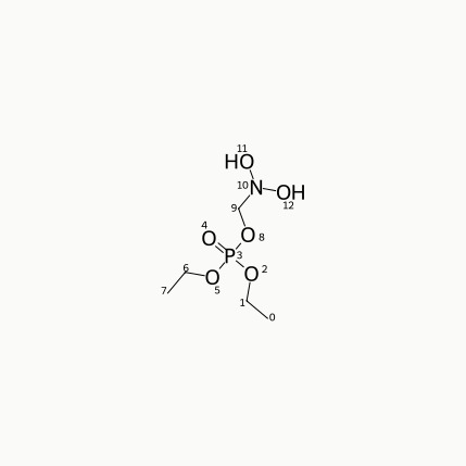 CCOP(=O)(OCC)OCN(O)O